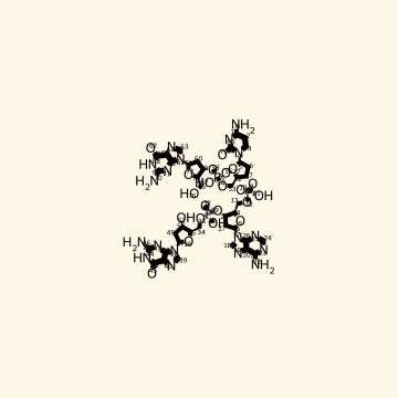 Nc1ccn([C@H]2C[C@H](OP(=O)(O)OC[C@H]3O[C@@H](n4cnc5c(N)ncnc54)C[C@@H]3OP(=O)(O)OC[C@H]3O[C@@H](n4cnc5c(=O)[nH]c(N)nc54)C[C@@H]3O)[C@@H](COP(=O)(O)O[C@H]3C[C@H](n4cnc5c(=O)[nH]c(N)nc54)O[C@@H]3CO)O2)c(=O)n1